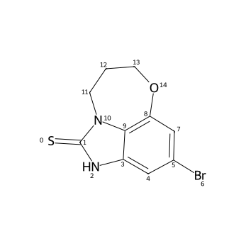 S=c1[nH]c2cc(Br)cc3c2n1CCCO3